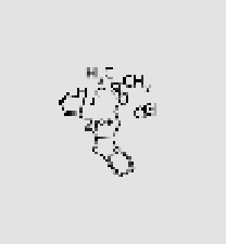 C[Si](C)(C)OCCC1[C]([Zr+2][C]2=CC=CC2)=Cc2ccccc21.[Cl-].[Cl-]